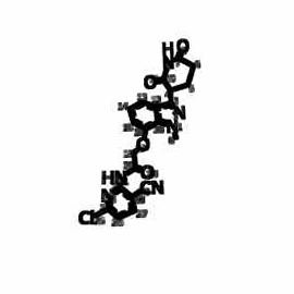 Cn1nc(C2CCC(=O)NC2=O)c2cccc(OCC(=O)Nc3nc(Cl)ccc3C#N)c21